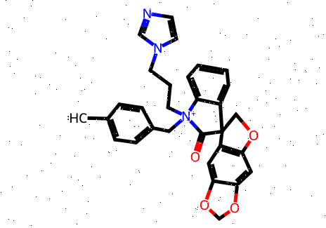 [CH]c1ccc(C[N+]2(CCCn3ccnc3)C(=O)C3(COc4cc5c(cc43)OCO5)c3ccccc32)cc1